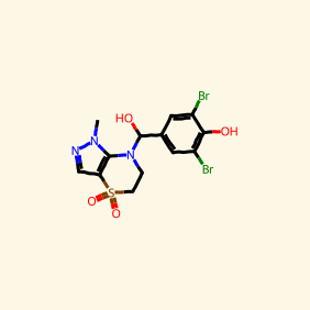 Cn1ncc2c1N(C(O)c1cc(Br)c(O)c(Br)c1)CCS2(=O)=O